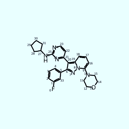 Fc1cccc(-c2nn3c(N4CCOCC4)cccc3c2-c2ccnc(NC3CCCC3)n2)c1